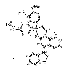 COc1ccc(C2(c3ccc(OC(C)(C)C)cc3)C=Cc3c(cc(N4CCc5ccccc54)c4ccccc34)O2)cc1C(F)(F)F